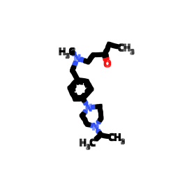 CCC(=O)CCN(C)Cc1ccc(N2CCN(C(C)C)CC2)cc1